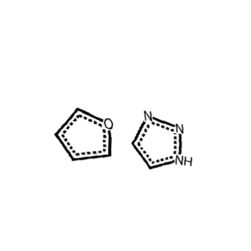 c1c[nH]nn1.c1ccoc1